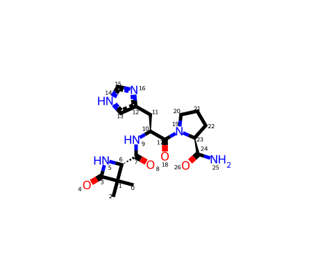 CC1(C)C(=O)N[C@@H]1C(=O)N[C@@H](Cc1c[nH]cn1)C(=O)N1CCC[C@H]1C(N)=O